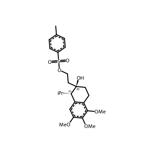 COc1cc2c(c(OC)c1OC)CC[C@@](O)(CCOS(=O)(=O)c1ccc(C)cc1)[C@H]2C(C)C